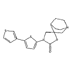 O=C1OC2(CN3CCC2CC3)CN1c1ccc(-c2ccsc2)s1